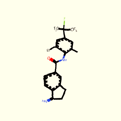 CCc1cc(C(F)(C(F)(F)F)C(F)(F)F)cc(C)c1NC(=O)c1ccc2c(c1)CCC2=N